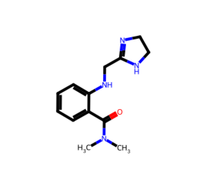 CN(C)C(=O)c1ccccc1NCC1=NCCN1